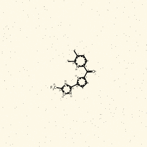 Cc1ccc(C(=O)c2ccc(-c3noc(C(F)(F)F)n3)s2)nc1C